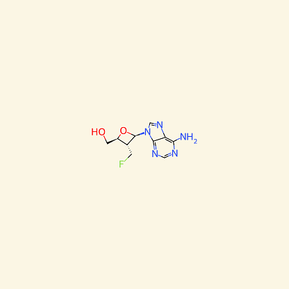 Nc1ncnc2c1ncn2[C@@H]1O[C@H](CO)[C@H]1CF